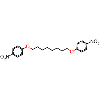 O=[N+]([O-])c1ccc(OCCCCCCCCOc2ccc([N+](=O)[O-])cc2)cc1